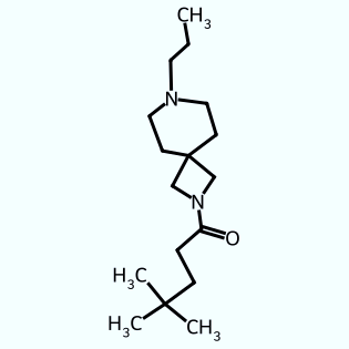 CCCN1CCC2(CC1)CN(C(=O)CCC(C)(C)C)C2